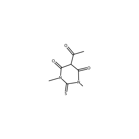 CC(=O)C1C(=O)N(C)C(=S)N(C)C1=O